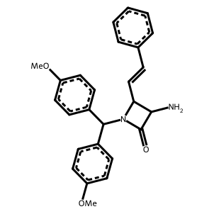 COc1ccc(C(c2ccc(OC)cc2)N2C(=O)C(N)C2/C=C/c2ccccc2)cc1